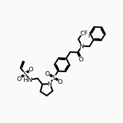 C=CS(=O)(=O)NCC1CCCN1S(=O)(=O)c1ccc(CC(=O)N(Cc2ccccc2)CC(F)(F)F)cc1